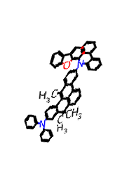 Cc1c2c3c(cccc3c3cc(N(c4ccccc4-c4ccccc4)c4cccc5c4oc4ccccc45)ccc13)C(C)(C)c1cc(N(c3ccccc3)c3ccccc3)ccc1-2